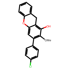 COc1c(-c2ccc(Cl)cc2)cc2c(c1O)Cc1ccccc1O2